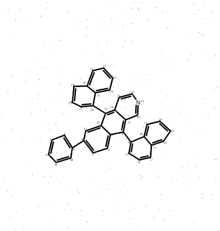 c1ccc(-c2ccc3c(-c4cccc5ccccc45)c4cnccc4c(-c4cccc5ccccc45)c3c2)cc1